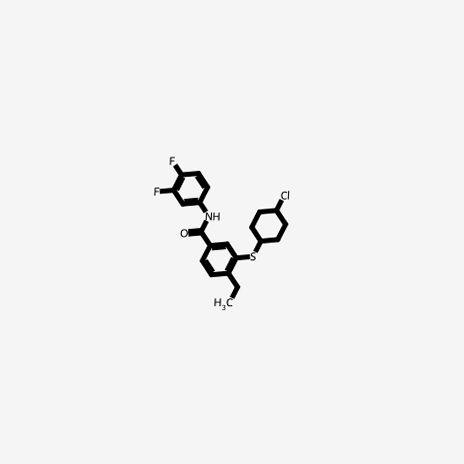 CCc1ccc(C(=O)Nc2ccc(F)c(F)c2)cc1SC1CCC(Cl)CC1